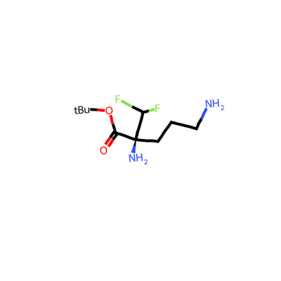 CC(C)(C)OC(=O)[C@@](N)(CCCN)C(F)F